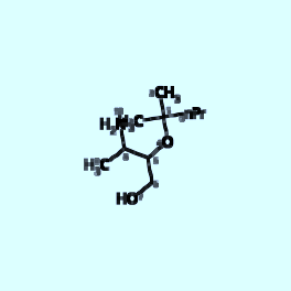 CCCC(C)(C)OC(CO)C(C)N